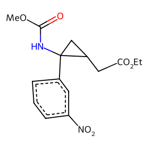 CCOC(=O)CC1CC1(NC(=O)OC)c1cccc([N+](=O)[O-])c1